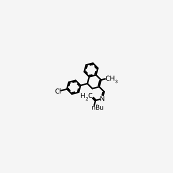 C=C(CCCC)/N=C\C1=C(C)c2ccccc2C(c2ccc(Cl)cc2)C1